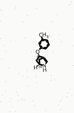 Cc1cccc(O[C@@H]2C[C@@H]3CC2=CN3)c1